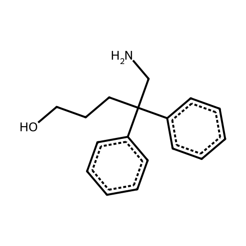 NCC(CCCO)(c1ccccc1)c1ccccc1